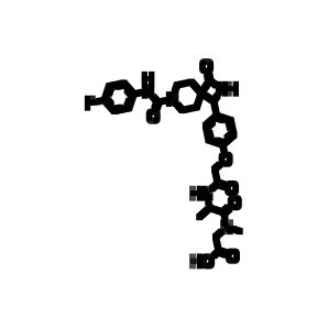 CC(NC(=O)COc1ccc(C2NC(=O)C23CCN(C(=O)Nc2ccc(F)cc2)CC3)cc1)C(=O)N(C)CC(=O)O